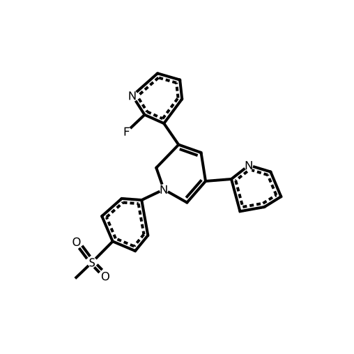 CS(=O)(=O)c1ccc(N2C=C(c3ccccn3)C=C(c3cccnc3F)C2)cc1